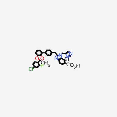 CCn1cncc1Cn1c(Cc2ccc(-c3cccc4c3OC(C)(c3ccc(Cl)cc3F)O4)cc2)nc2ccc(C(=O)O)cc21